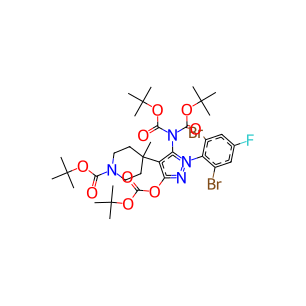 CC(C)(C)OC(=O)Oc1nn(-c2c(Br)cc(F)cc2Br)c(N(C(=O)OC(C)(C)C)C(=O)OC(C)(C)C)c1C1(C)CCN(C(=O)OC(C)(C)C)CC1